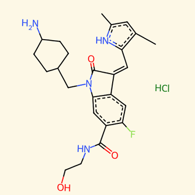 Cc1cc(C)c(/C=C2\C(=O)N(CC3CCC(N)CC3)c3cc(C(=O)NCCO)c(F)cc32)[nH]1.Cl